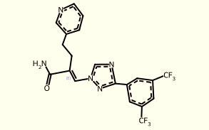 NC(=O)/C(=C/n1cnc(-c2cc(C(F)(F)F)cc(C(F)(F)F)c2)n1)CCc1cccnc1